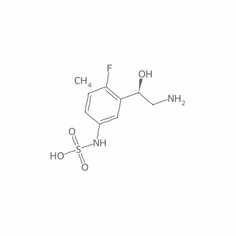 C.NC[C@H](O)c1cc(NS(=O)(=O)O)ccc1F